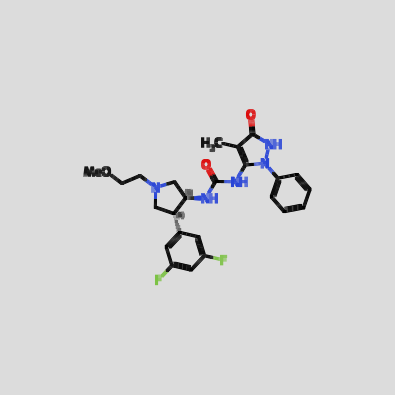 COCCN1C[C@@H](NC(=O)Nc2c(C)c(=O)[nH]n2-c2ccccc2)[C@H](c2cc(F)cc(F)c2)C1